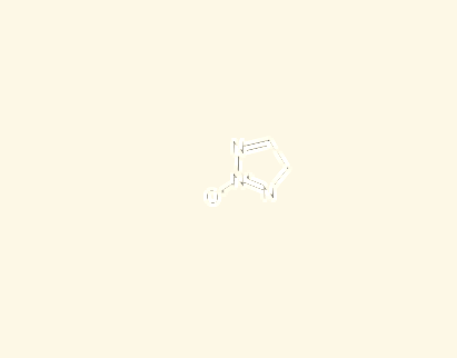 [O-][N+]1=NCC=N1